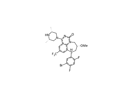 CO[C@H]1Cn2c(=O)nc(N3C[C@@H](C)N[C@@H](C)C3)c3cc(C(F)(F)F)cc(c32)[SH](c2cc(Br)c(F)cc2F)C1